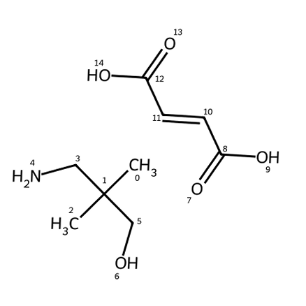 CC(C)(CN)CO.O=C(O)C=CC(=O)O